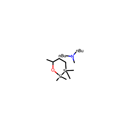 CC1CC[Si](C)(C)[Si](C)(C)O1.CCCCN(C)CCCC